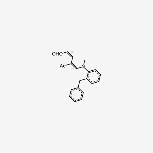 CC(=O)C(/C=C\C=O)=C/N(C)c1ccccc1Cc1ccccc1